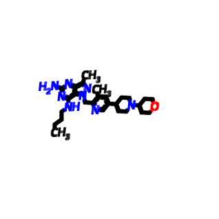 CCCCNc1nc(N)nc2c(C)nn(Cc3ncc(C4CCN(C5CCOCC5)CC4)cc3C)c12